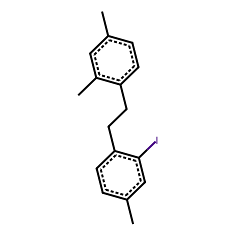 Cc1ccc(CCc2ccc(C)cc2I)c(C)c1